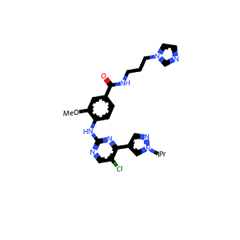 COc1cc(C(=O)NCCCn2ccnc2)ccc1Nc1ncc(Cl)c(-c2cnn(C(C)C)c2)n1